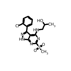 CC(O)CNc1nc(S(C)(=O)=O)nc2[nH]nc(-c3ccccc3Cl)c12